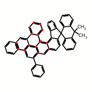 CC1(C)c2ccccc2C2(c3ccccc3-c3c(N(c4cc(-c5ccccc5)cc(-c5ccccc5)c4)c4ccccc4-c4ccccc4-c4ccccc4-c4ccccc4)cccc32)c2ccccc21